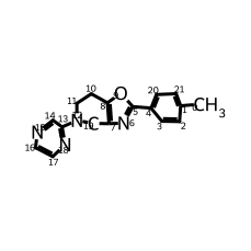 Cc1ccc(-c2nc3c(o2)CCN(c2cnccn2)C3)cc1